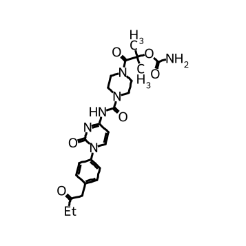 CCC(=O)Cc1ccc(-n2ccc(NC(=O)N3CCN(C(=O)C(C)(C)OC(N)=O)CC3)nc2=O)cc1